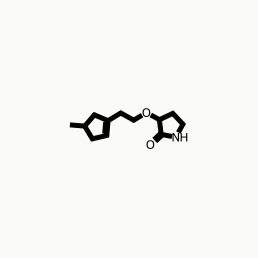 CC1CC=C(CCOC2CCNC2=O)C1